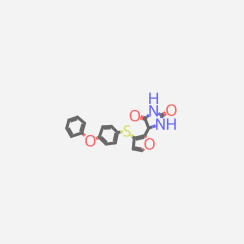 O=C1NC(=O)C(c2occc2Sc2ccc(Oc3ccccc3)cc2)N1